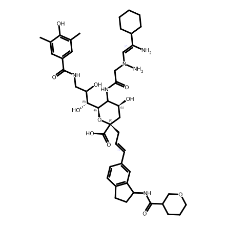 Cc1cc(C(=O)NCC(O)[C@@H](O)[C@@H]2O[C@@](C/C=C/c3ccc4c(c3)C(NC(=O)C3CCCOC3)CC4)(C(=O)O)C[C@H](O)C2NC(=O)CN(N)/C=C(\N)C2CCCCC2)cc(C)c1O